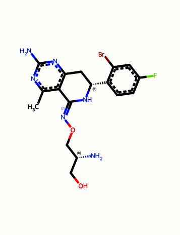 Cc1nc(N)nc2c1/C(=N/OC[C@H](N)CO)N[C@@H](c1ccc(F)cc1Br)C2